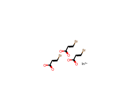 O=C([O-])C=CBr.O=C([O-])C=CBr.O=C([O-])C=CBr.[In+3]